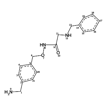 NCc1ccc(CONC(=O)CNCc2ccccc2)cc1